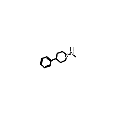 CNN1CCC(c2cc[c]cc2)CC1